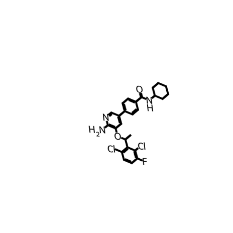 CC(Oc1cc(-c2ccc(C(=O)NC3CCCCC3)cc2)cnc1N)c1c(Cl)ccc(F)c1Cl